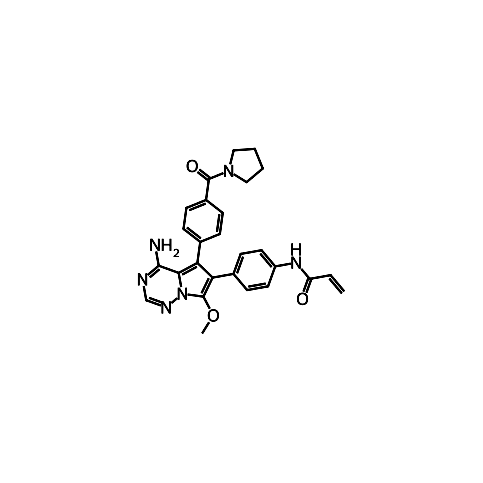 C=CC(=O)Nc1ccc(-c2c(-c3ccc(C(=O)N4CCCC4)cc3)c3c(N)ncnn3c2OC)cc1